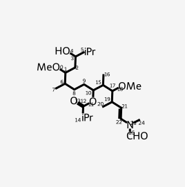 COC(CC(O)C(C)C)C(C)CCC(OC(=O)C(C)C)C(C)C(OC)C(C)/C=C/N(C)C=O